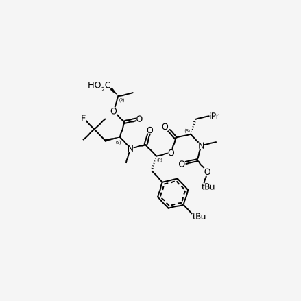 CC(C)C[C@@H](C(=O)O[C@H](Cc1ccc(C(C)(C)C)cc1)C(=O)N(C)[C@@H](CC(C)(C)F)C(=O)O[C@H](C)C(=O)O)N(C)C(=O)OC(C)(C)C